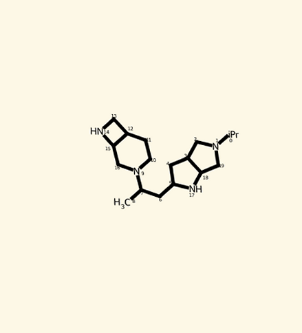 CC(C)N1CC2CC(CC(C)N3CCC4CNC4C3)NC2C1